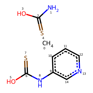 C.NC(O)=S.OC(=S)Nc1cccnc1